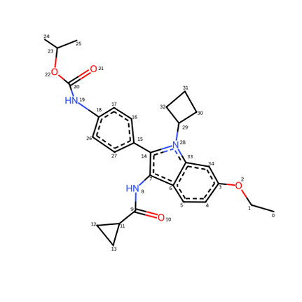 CCOc1ccc2c(NC(=O)C3CC3)c(-c3ccc(NC(=O)OC(C)C)cc3)n(C3CCC3)c2c1